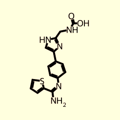 N/C(=N/c1ccc(-c2c[nH]c(CNC(=O)O)n2)cc1)c1cccs1